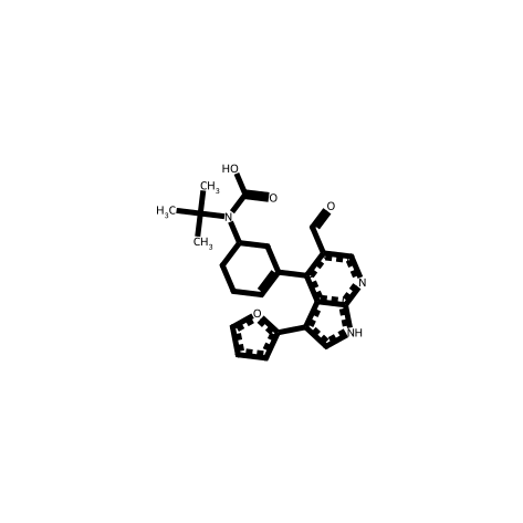 CC(C)(C)N(C(=O)O)C1CCC=C(c2c(C=O)cnc3[nH]cc(-c4ccco4)c23)C1